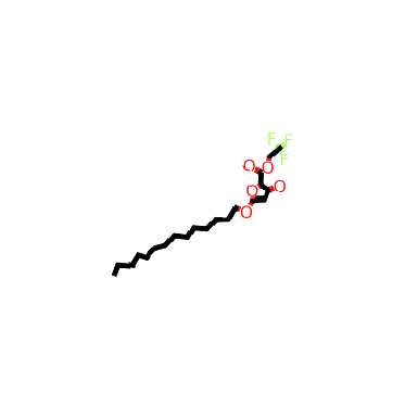 CCCCCCCCCCCCCCOC1=CC(=O)C(C(=O)OCC(F)(F)F)O1